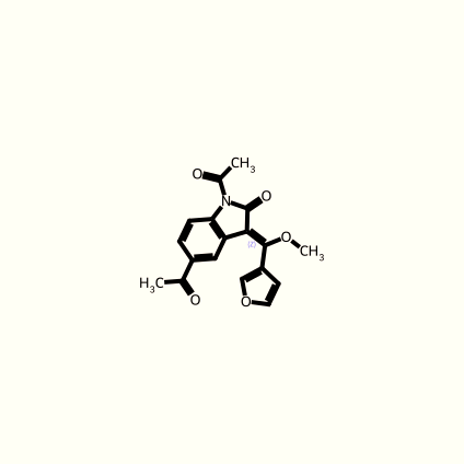 CO/C(=C1\C(=O)N(C(C)=O)c2ccc(C(C)=O)cc21)c1ccoc1